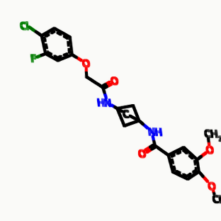 COc1ccc(C(=O)NC23CC(NC(=O)COc4ccc(Cl)c(F)c4)(C2)C3)cc1OC